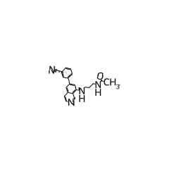 CC(=O)NCCCNc1cc(-c2cccc(C#N)c2)cc2ccncc12